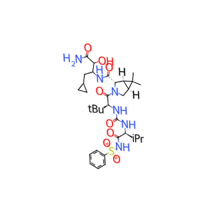 CC(C)[C@H](NC(=O)N[C@H](C(=O)N1C[C@H]2[C@@H]([C@H]1C(=O)NC(CC1CC1)C(O)C(N)=O)C2(C)C)C(C)(C)C)C(=O)NS(=O)(=O)c1ccccc1